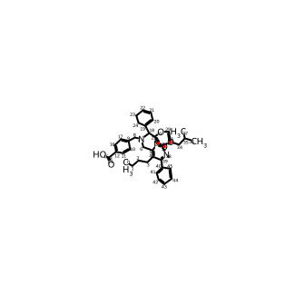 CCCCc1c(CN(Cc2ccc(C(=O)O)cc2)C(C2=CC=CCC2)C2=COC=CO2)nc(OCC(C)C)nc1-c1ccccc1